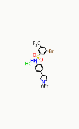 CCCN1CCC(c2ccc(NS(=O)(=O)c3cc(Br)cc(C(F)(F)F)c3)cc2)C1.Cl